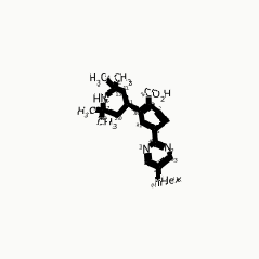 CCCCCCc1cnc(-c2ccc(C(=O)O)c(C3CC(C)(C)NC(C)(C)C3)c2)nc1